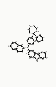 c1ccc(C2(c3ccc(N(c4ccc5ccccc5c4)c4ccc5oc6ccccc6c5c4)cc3)CCCCCC2)cc1